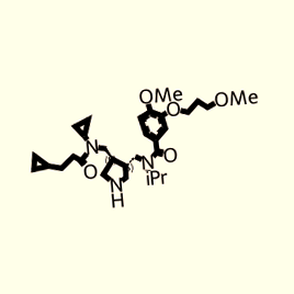 COCCCOc1cc(C(=O)N(C[C@@H]2CNC[C@H]2CN(C(=O)CCC2CC2)C2CC2)C(C)C)ccc1OC